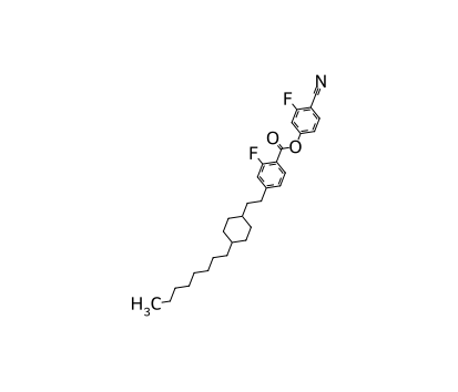 CCCCCCCCC1CCC(CCc2ccc(C(=O)Oc3ccc(C#N)c(F)c3)c(F)c2)CC1